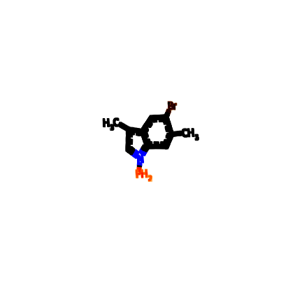 Cc1cc2c(cc1Br)c(C)cn2P